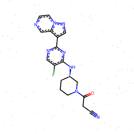 N#CCC(=O)N1CCC[C@@H](Nc2nc(-c3cnn4ccncc34)ncc2F)C1